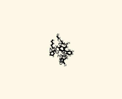 CCCCC1=NC2(CCCC2)C(=O)N1Cc1ccc(-c2ccccc2S(=O)(=O)Nc2noc(C)c2C)c(CN(C)C(=O)COCC)c1